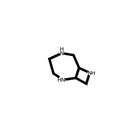 C1CNC2CNC2CN1